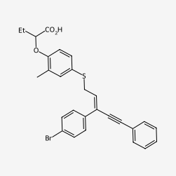 CCC(Oc1ccc(SCC=C(C#Cc2ccccc2)c2ccc(Br)cc2)cc1C)C(=O)O